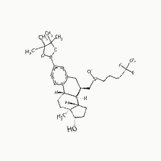 CC1(C)OB(c2ccc3c(c2)C[C@@H](C[S+]([O-])CCCC(F)(F)C(F)(F)F)[C@@H]2[C@@H]3CC[C@]3(C)[C@@H](O)CC[C@@H]23)OC1(C)C